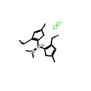 CCC1=[C]([Ti+2]([C]2=C(CC)C=C(C)C2)=[Si](C)C)CC(C)=C1.[Cl-].[Cl-]